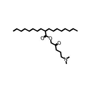 CCCCCCCCC(CCCCCCCC)C(=O)OCC(=O)CCCN(C)C